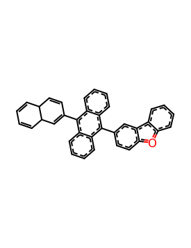 C1=CC2C=CC(c3c4ccccc4c(-c4ccc5oc6ccccc6c5c4)c4ccccc34)=CC2C=C1